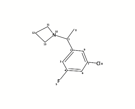 CC(c1cc(F)cc(Cl)c1)N1CCC1